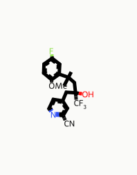 COc1ccc(F)cc1C(C)(C)CC(O)(Cc1ccnc(C#N)c1)C(F)(F)F